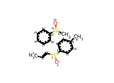 CC=C[S+]([O-])c1ccc(C)cc1.C[S+]([O-])c1ccccc1